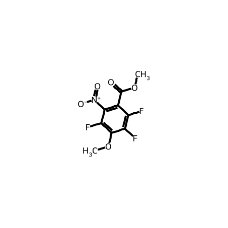 COC(=O)c1c(F)c(F)c(OC)c(F)c1[N+](=O)[O-]